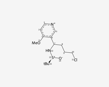 COc1ccncc1C(CCCCl)N[S@@+]([O-])C(C)(C)C